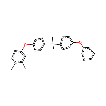 Cc1ccc(Oc2ccc(C(C)(C)c3ccc(Oc4ccccc4)cc3)cc2)cc1C